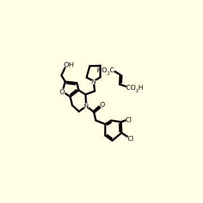 O=C(Cc1ccc(Cl)c(Cl)c1)N1CCc2oc(CO)cc2C1CN1CCCC1.O=C(O)C=CC(=O)O